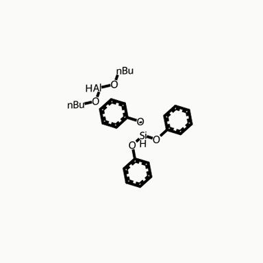 CCCC[O][AlH][O]CCCC.c1ccc(O[SiH](Oc2ccccc2)Oc2ccccc2)cc1